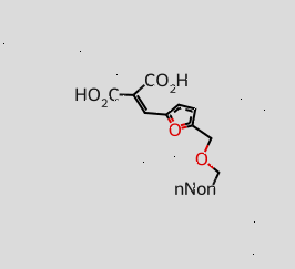 CCCCCCCCCCOCc1ccc(C=C(C(=O)O)C(=O)O)o1